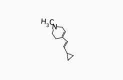 CN1CC=C(/C=C/C2CC2)CC1